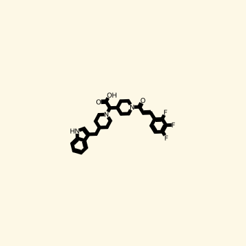 O=C(O)C(C1CCN(C(=O)C=Cc2ccc(F)c(F)c2F)CC1)N1CCC(Cc2c[nH]c3ccccc23)CC1